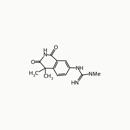 CNC(=N)Nc1ccc2c(c1)C(=O)NC(=O)C2(C)C